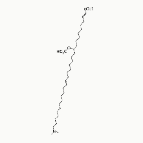 CCCCCCCCC=CCCCCCCCC(CCCCCCCC=CCCCCCCCCCCCN(C)C)OC(=O)O